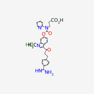 Cl.Cn1cc(C(=O)CCc2ccc(C(=N)N)cc2)c2ccc(OC(=O)N(CCC(=O)O)c3ccccn3)cc21